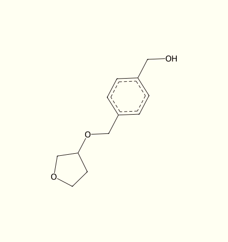 OCc1ccc(COC2CCOC2)cc1